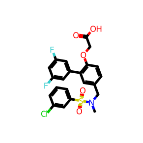 CN(Cc1ccc(OCC(=O)O)c(-c2cc(F)cc(F)c2)c1)S(=O)(=O)c1cccc(Cl)c1